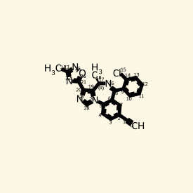 C#Cc1ccc2c(c1)C(c1ccccc1Cl)=N[C@H](C)c1c(-c3nc(C)no3)ncn1-2